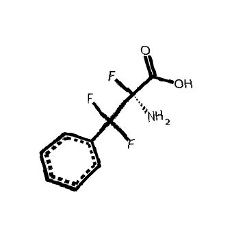 N[C@](F)(C(=O)O)C(F)(F)c1ccccc1